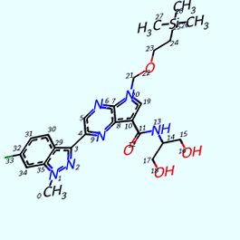 Cn1nc(-c2cnc3c(n2)c(C(=O)NC(CO)CO)cn3COCC[Si](C)(C)C)c2ccc(Cl)cc21